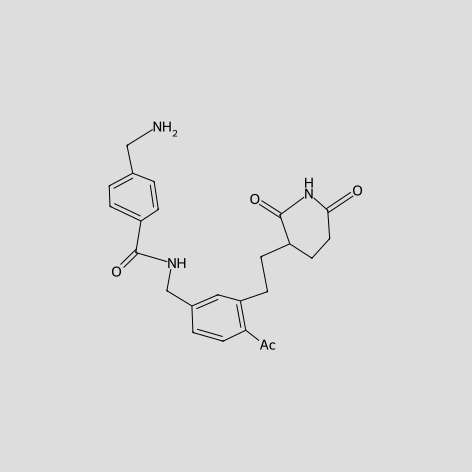 CC(=O)c1ccc(CNC(=O)c2ccc(CN)cc2)cc1CCC1CCC(=O)NC1=O